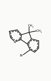 CC1(C)c2cccnc2-c2c(Br)cccc21